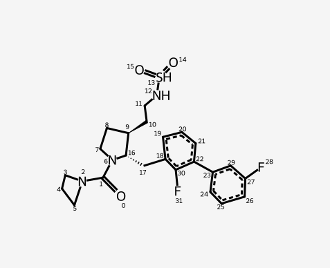 O=C(N1CCC1)N1CC[C@@H](CCN[SH](=O)=O)[C@@H]1Cc1cccc(-c2cccc(F)c2)c1F